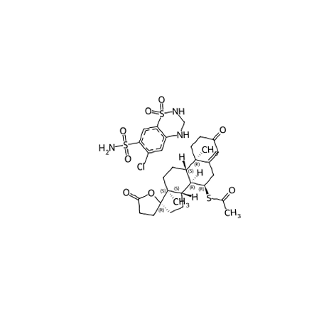 CC(=O)S[C@@H]1CC2=CC(=O)CC[C@]2(C)[C@H]2CC[C@@]3(C)[C@@H](CC[C@@]34CCC(=O)O4)[C@H]12.NS(=O)(=O)c1cc2c(cc1Cl)NCNS2(=O)=O